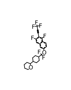 Fc1cc2cc(OC(F)(F)C3CCC(C4CCCCO4)CC3)ccc2c(F)c1C#CC(F)(F)F